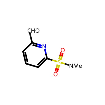 CNS(=O)(=O)c1cccc(C=O)n1